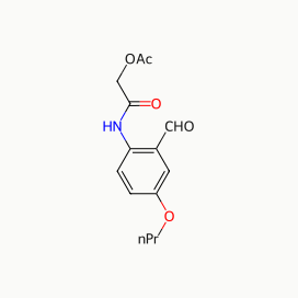 CCCOc1ccc(NC(=O)COC(C)=O)c(C=O)c1